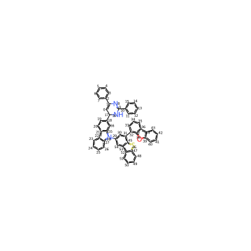 C1=C(c2ccccc2)N=C(c2ccccc2)NC1c1ccc2c3ccccc3n(-c3cc(-c4cccc5c4oc4ccccc45)c4sc5ccccc5c4c3)c2c1